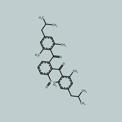 Cc1cc(CC(C)C)cc(C)c1C(=O)c1cccc(P=O)c1C(=O)c1c(C)cc(CC(C)C)cc1C